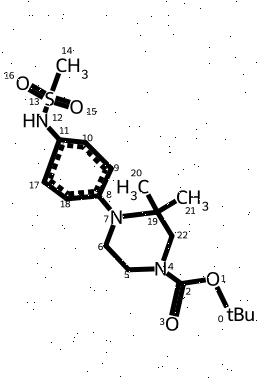 CC(C)(C)OC(=O)N1CCN(c2ccc(NS(C)(=O)=O)cc2)C(C)(C)C1